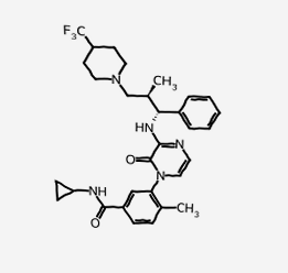 Cc1ccc(C(=O)NC2CC2)cc1-n1ccnc(N[C@@H](c2ccccc2)[C@H](C)CN2CCC(C(F)(F)F)CC2)c1=O